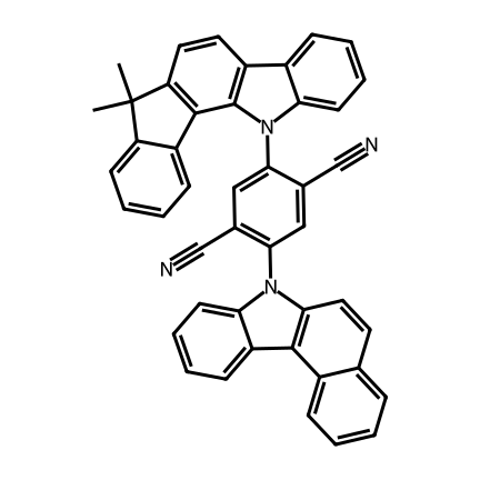 CC1(C)c2ccccc2-c2c1ccc1c3ccccc3n(-c3cc(C#N)c(-n4c5ccccc5c5c6ccccc6ccc54)cc3C#N)c21